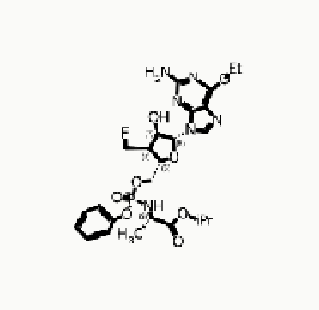 CCOc1nc(N)nc2c1ncn2[C@@H]1O[C@H](CO[P@](=O)(N[C@@H](C)C(=O)OC(C)C)Oc2ccccc2)[C@@H](CF)[C@H]1O